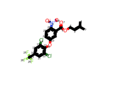 CC(C)=CCOC(=O)c1cc(Oc2c(Cl)cc(C(F)(F)F)cc2Cl)ccc1[N+](=O)[O-]